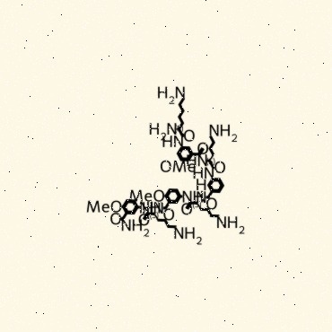 COc1ccc(NC(=O)[C@H](CCCCN)NC(=O)c2cc(NC(=O)[C@H](CCCCN)NC(=O)c3cccc(NC(=O)[C@H](CCCCN)NC(=O)c4cc(NC(=O)[C@@H](N)CCCCCN)ccc4OC)c3)ccc2OC)cc1C(N)=O